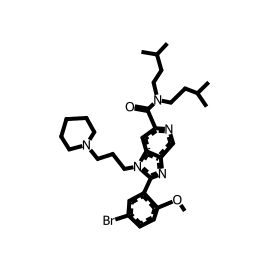 COc1ccc(Br)cc1-c1nc2cnc(C(=O)N(CCC(C)C)CCC(C)C)cc2n1CCCN1CCCCC1